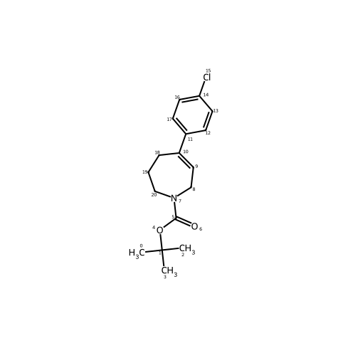 CC(C)(C)OC(=O)N1CC=C(c2ccc(Cl)cc2)CCC1